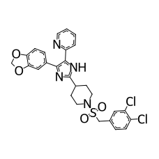 O=S(=O)(Cc1ccc(Cl)c(Cl)c1)N1CCC(c2nc(-c3ccc4c(c3)OCO4)c(-c3ccccn3)[nH]2)CC1